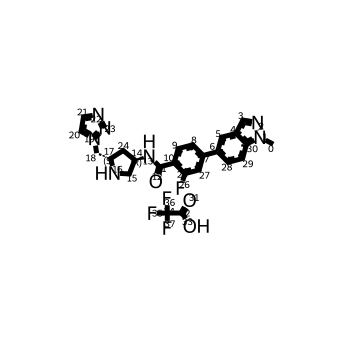 Cn1ncc2cc(-c3ccc(C(=O)N[C@H]4CN[C@H](Cn5ccnn5)C4)c(F)c3)ccc21.O=C(O)C(F)(F)F